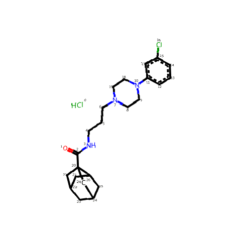 Cl.O=C(NCCCN1CCN(c2cccc(Cl)c2)CC1)C12CC3CC(CC1C3)C2